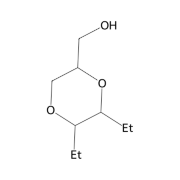 CCC1OCC(CO)OC1CC